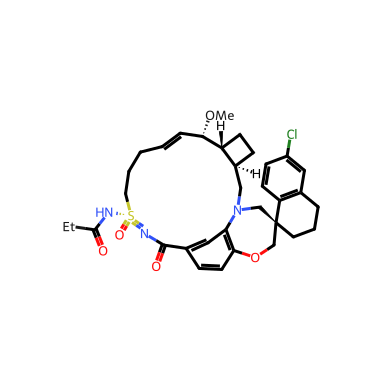 CCC(=O)N[S@@]1(=O)=NC(=O)c2ccc3c(c2)N(C[C@@H]2CC[C@H]2[C@@H](OC)/C=C/CCC1)C[C@@]1(CCCc2cc(Cl)ccc21)CO3